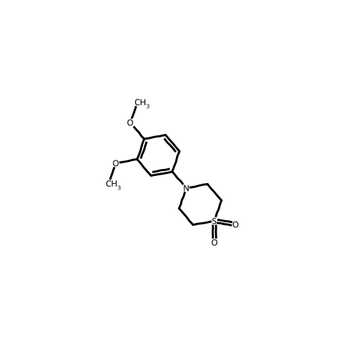 COc1ccc(N2CCS(=O)(=O)CC2)cc1OC